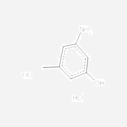 Cc1cc(N)cc(O)c1.Cl.Cl